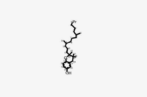 CC(C)CCCC(C)CCCC(C)CCCC1(C)Oc2ccc(O)cc2CC1(C)C